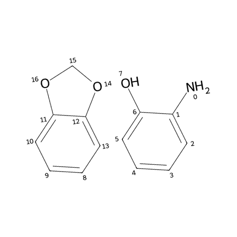 Nc1ccccc1O.c1ccc2c(c1)OCO2